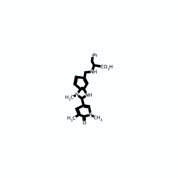 Cc1cc(C2Nc3cc(CNC(CC(C)C)C(=O)O)ccc3N2C)cn(C)c1=O